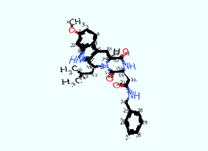 COc1ccc2c3c([nH]c2c1)[C@H](CC(C)C)N1C(=O)[C@H](CC(=O)NCc2ccccc2)NC(=O)[C@@H]1C3